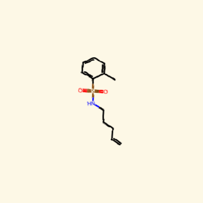 C=CCCCNS(=O)(=O)c1ccccc1C